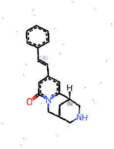 O=c1cc(/C=C/c2ccccc2)cc2n1CC1CNC[C@@H]2C1